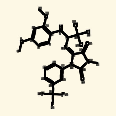 COc1ccc(NC(N=C2C(=O)N(C)C(=O)N2c2cccc(C(F)(F)F)c2)C(Cl)(Cl)Cl)c(OC)c1